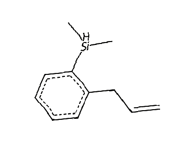 C=CCc1ccccc1[SiH](C)C